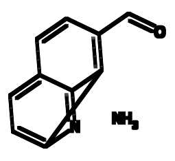 N.O=Cc1ccc2ccc3nc2c13